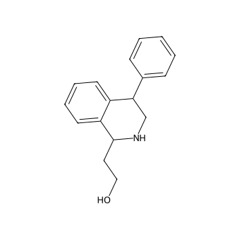 OCCC1NCC(c2ccccc2)c2ccccc21